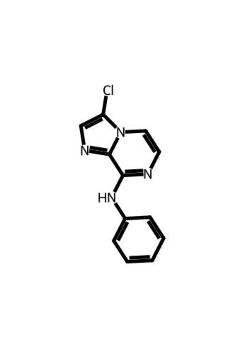 Clc1cnc2c(Nc3ccccc3)nccn12